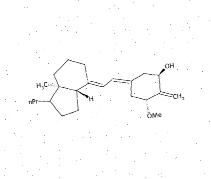 C=C1[C@H](O)C/C(=C/C=C2\CCC[C@]3(C)C(CCC)CC[C@@H]23)C[C@H]1OC